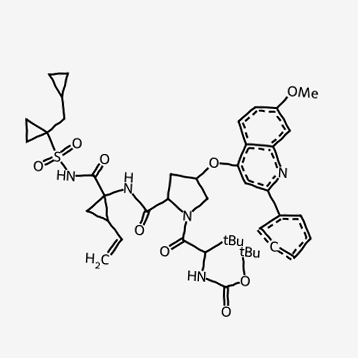 C=CC1CC1(NC(=O)C1CC(Oc2cc(-c3ccccc3)nc3cc(OC)ccc23)CN1C(=O)C(NC(=O)OC(C)(C)C)C(C)(C)C)C(=O)NS(=O)(=O)C1(CC2CC2)CC1